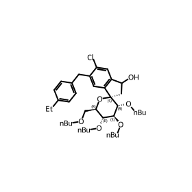 CCCCOC[C@H]1O[C@]2(CC(O)c3cc(Cl)c(Cc4ccc(CC)cc4)cc32)[C@H](OCCCC)[C@@H](OCCCC)[C@@H]1OCCCC